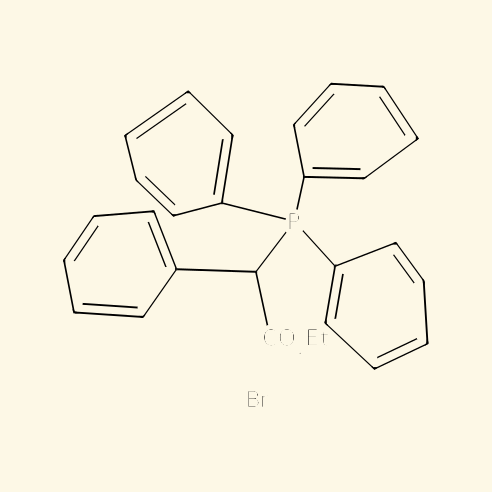 CCOC(=O)C(c1ccccc1)[P+](c1ccccc1)(c1ccccc1)c1ccccc1.[Br-]